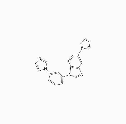 c1cc(-n2ccnc2)cc(-n2cnc3cc(-c4ccco4)ccc32)c1